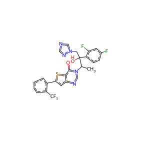 CC(n1cnc2cc(-c3ccccc3C(F)(F)F)sc2c1=O)C(O)(Cn1cncn1)c1ccc(F)cc1F